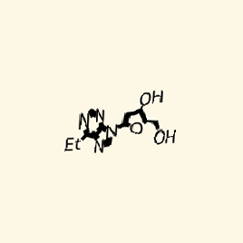 CCc1ncnc2c1ncn2C1C[C@H](O)[C@@H](CO)O1